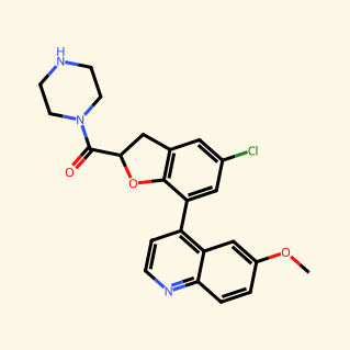 COc1ccc2nccc(-c3cc(Cl)cc4c3OC(C(=O)N3CCNCC3)C4)c2c1